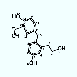 OCCc1cc(O)ccc1Cc1ccc(O)c(CO)c1